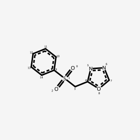 O=S(=O)(Cc1nnco1)c1ccccc1